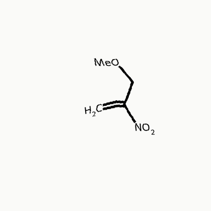 C=C(COC)[N+](=O)[O-]